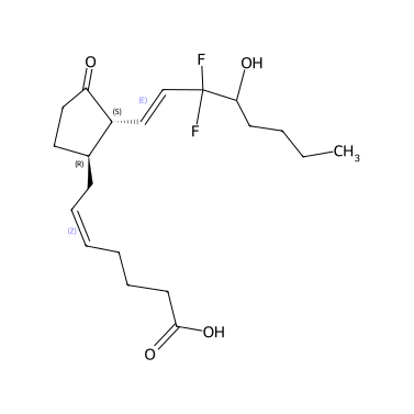 CCCCC(O)C(F)(F)/C=C/[C@H]1C(=O)CC[C@@H]1C/C=C\CCCC(=O)O